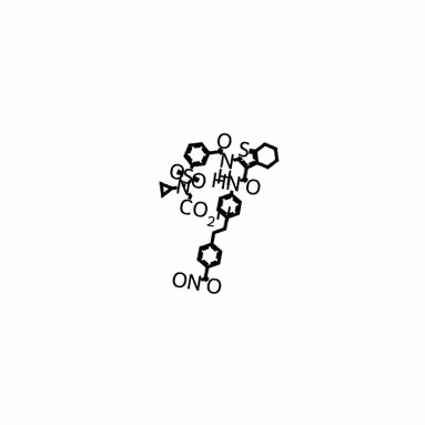 O=NC(=O)c1ccc(CCc2ccc(NC(=O)c3c(NC(=O)c4cccc(S(=O)(=O)N(CC(=O)O)C5CC5)c4)sc4c3CCCC4)cc2)cc1